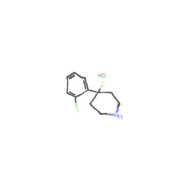 Cl.Fc1ccccc1C1(F)CCNCC1